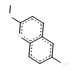 CC(C)Oc1ccc2cc(N)ccc2n1